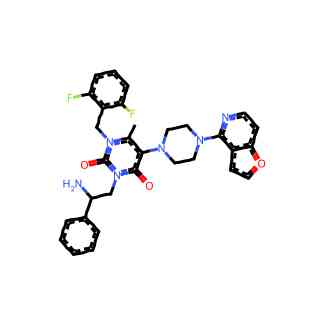 Cc1c(N2CCN(c3nccc4occc34)CC2)c(=O)n(CC(N)c2ccccc2)c(=O)n1Cc1c(F)cccc1F